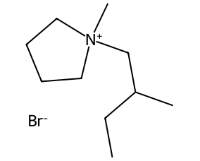 CCC(C)C[N+]1(C)CCCC1.[Br-]